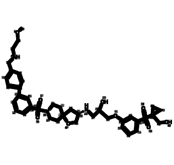 COCCNCc1ccc(-c2cccc(S(=O)(=O)N3CCC4(CC3)C[C@H](NCC(O)COc3cccc(S(=O)(=O)C5(CO)CC5)c3)CO4)c2)cc1